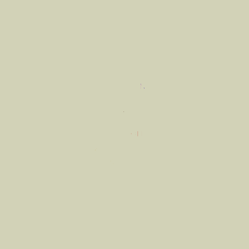 CC1(c2cccnc2)CCCCC1=C(O)C(C=S)C=S